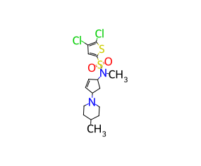 CC1CCN(C2C=CC(N(C)S(=O)(=O)c3cc(Cl)c(Cl)s3)C2)CC1